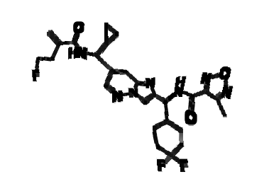 C=C(CCF)C(=O)NC(c1cnn2cc([C@@H](NC(=O)c3nonc3C)C3CCC(F)(F)CC3)nc2c1)C1CC1